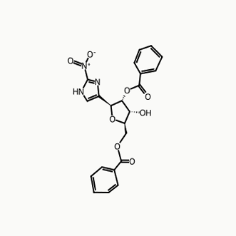 O=C(OC[C@H]1O[C@@H](c2c[nH]c([N+](=O)[O-])n2)[C@H](OC(=O)c2ccccc2)[C@@H]1O)c1ccccc1